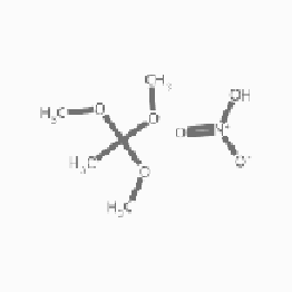 COC(C)(OC)OC.O=[N+]([O-])O